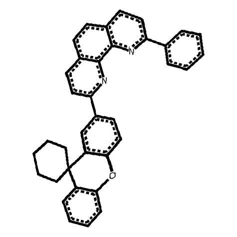 c1ccc(-c2ccc3ccc4ccc(-c5ccc6c(c5)C5(CCCCC5)c5ccccc5O6)nc4c3n2)cc1